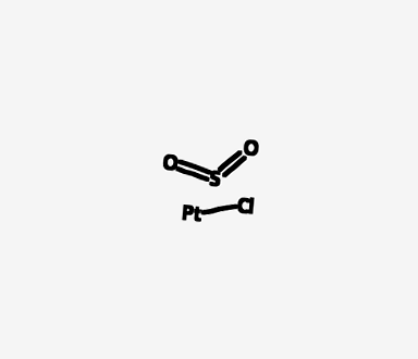 O=S=O.[Cl][Pt]